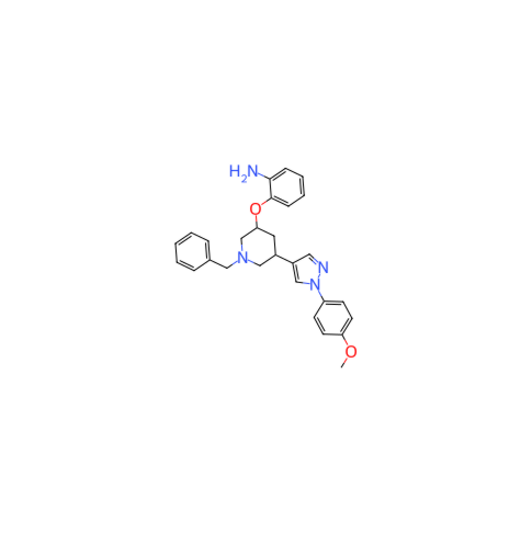 COc1ccc(-n2cc(C3CC(Oc4ccccc4N)CN(Cc4ccccc4)C3)cn2)cc1